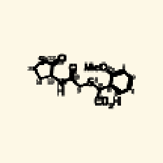 COc1ccccc1C(SCC(=O)NC1CCSC1=O)C(=O)O